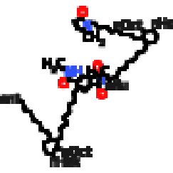 C=CNC(=O)c1cc2c(cc1CCCCCCCCC1C(CCCCCCCC(C)CCC)CCC(CCCCCC)C1CCCCCCCC)C(=O)N(C(C)(CCCC)CCCCCCCC1CCC(CCCCCC)C(CCCCCCCC)C1CCCCCCCCN1C(=C)C=CC1=O)C2=O